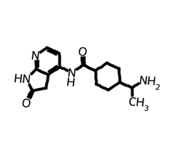 CC(N)C1CCC(C(=O)Nc2ccnc3c2CC(=O)N3)CC1